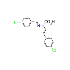 O=C(O)[C@H](C=Cc1ccc(Cl)cc1)N=Cc1ccc(Cl)cc1